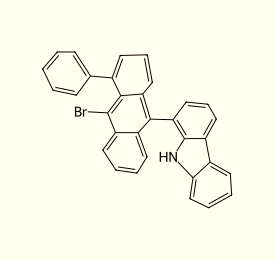 Brc1c2ccccc2c(-c2cccc3c2[nH]c2ccccc23)c2cccc(-c3ccccc3)c12